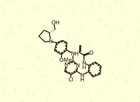 C=CC(=O)Nc1ccccc1Nc1nc(Nc2ccc(N3CCC[C@@H]3CO)cc2OC)ncc1Cl